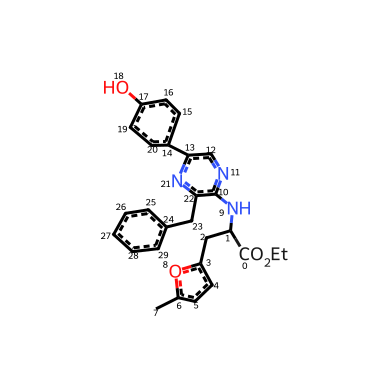 CCOC(=O)C(Cc1ccc(C)o1)Nc1ncc(-c2ccc(O)cc2)nc1Cc1ccccc1